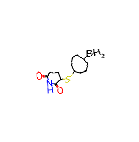 BC1CCCC(SC2CCC(=O)NC2=O)CCC1